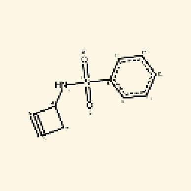 O=S(=O)(NC1C#CC1)c1ccccc1